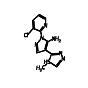 C[SH]1C=NN=C1c1cnn(-c2ncccc2Cl)c1N